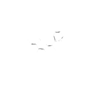 CC/C=C(N)/C(=C(Cl)\N=C(/C)c1ccccn1)C(F)(F)F